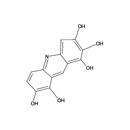 Oc1cc2nc3ccc(O)c(O)c3cc2c(O)c1O